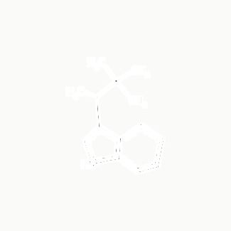 C[C@@H](c1c[nH]c2ccccc12)C(C)(C)C